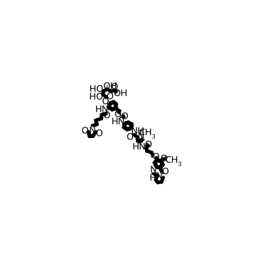 COc1cc2c(cc1OCCCC(=O)Nc1cc(C(=O)Nc3ccc(NC(=O)OCc4ccc(O[C@@H]5OC(C(=O)O)[C@@H](O)[C@H](O)[C@H]5O)c(NC(=O)CCCCCN5C(=O)C=CC5=O)c4)cc3)n(C)c1)N=C[C@@H]1CCCCN1C2=O